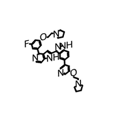 Fc1cc(OCCN2CCCC2)cc(-c2nccc3[nH]c(-c4n[nH]c5ccc(-c6cncc(OCCN7CCCC7)c6)cc45)cc23)c1